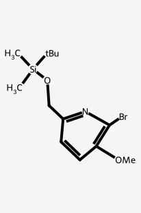 COc1ccc(CO[Si](C)(C)C(C)(C)C)nc1Br